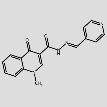 Cn1cc(C(=O)NN=Cc2ccncc2)c(=O)c2ccccc21